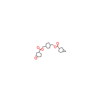 O=C(OCC1CCC(COC(=O)C2CCC3OC3C2)CC1)C1CCC2CC2C1